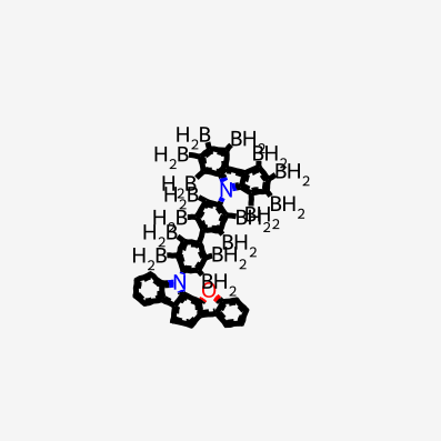 Bc1c(B)c(-n2c3c(B)c(B)c(B)c(B)c3c3c(B)c(B)c(B)c(B)c32)c(B)c(B)c1-c1c(B)c(B)c(-n2c3ccccc3c3ccc4c5ccccc5oc4c32)c(B)c1B